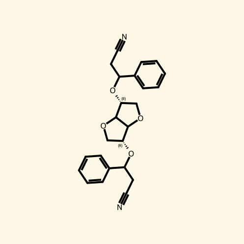 N#CCC(O[C@@H]1COC2C1OC[C@H]2OC(CC#N)c1ccccc1)c1ccccc1